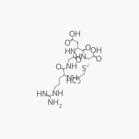 C#CCSC[C@H](NC(=O)[C@H](CC(=O)O)NC(=O)CNC(=O)[C@@H](N)CCCNC(=N)N)C(=O)O